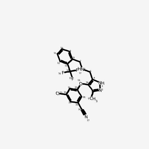 Cc1n[nH]c(CNCc2ccccc2C(F)(F)F)c1Oc1cc(Cl)cc(C#N)c1